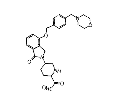 O=CC(=O)C1CCC(N2Cc3c(OCc4ccc(CN5CCOCC5)cc4)cccc3C2=O)CN1